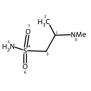 CNC(C)CS(N)(=O)=O